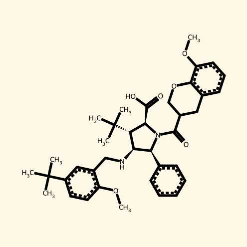 COc1ccc(C(C)(C)C)cc1CN[C@H]1[C@H](C(C)(C)C)[C@@H](C(=O)O)N(C(=O)C2COc3c(cccc3OC)C2)[C@H]1c1ccccc1